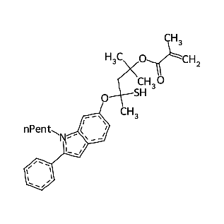 C=C(C)C(=O)OC(C)(C)CC(C)(S)Oc1ccc2cc(-c3ccccc3)n(CCCCC)c2c1